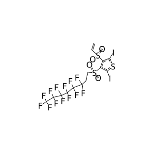 C=CS(=O)(=O)c1c(I)sc(I)c1S(=O)(=O)CCC(F)(F)C(F)(F)C(F)(F)C(F)(F)C(F)(F)C(F)(F)F